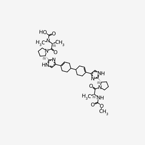 COC(=O)N[C@@H](C)C(=O)N1CCC[C@H]1c1nc(C2=CCC(C3CC=C(c4c[nH]c([C@@H]5CCCN5C(=O)[C@H](C)N(C)C(=O)O)n4)CC3)CC2)c[nH]1